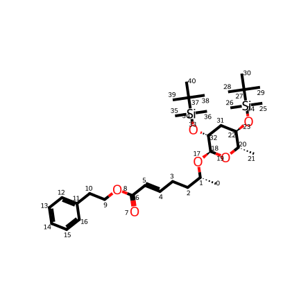 C[C@H](CC/C=C/C(=O)OCCc1ccccc1)O[C@@H]1O[C@@H](C)[C@H](O[Si](C)(C)C(C)(C)C)C[C@H]1O[Si](C)(C)C(C)(C)C